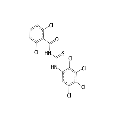 O=C(NC(=S)Nc1cc(Cl)c(Cl)c(Cl)c1Cl)c1c(Cl)cccc1Cl